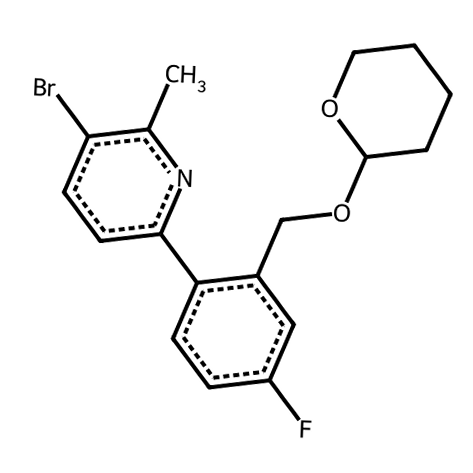 Cc1nc(-c2ccc(F)cc2COC2CCCCO2)ccc1Br